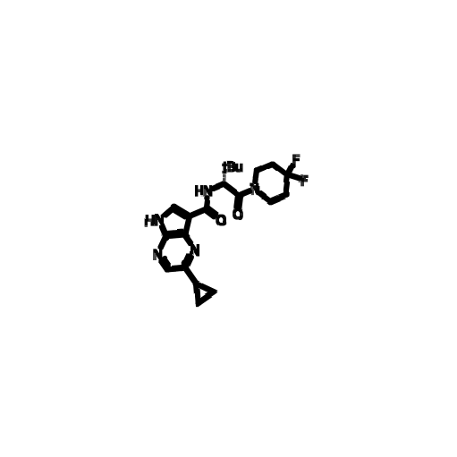 CC(C)(C)[C@@H](NC(=O)c1c[nH]c2ncc(C3CC3)nc12)C(=O)N1CCC(F)(F)CC1